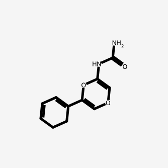 NC(=O)NC1=COC=C(C2=CC=CCC2)O1